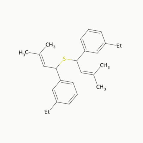 CCc1cccc(C(C=C(C)C)SC(C=C(C)C)c2cccc(CC)c2)c1